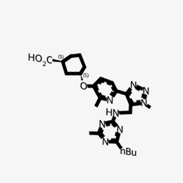 CCCCc1nc(C)nc(NCc2c(-c3ccc(O[C@H]4CCC[C@H](C(=O)O)C4)c(C)n3)nnn2C)n1